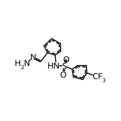 NN=Cc1ccccc1NS(=O)(=O)c1ccc(C(F)(F)F)cc1